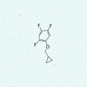 Fc1[c]c(OCC2CC2)c(F)cc1F